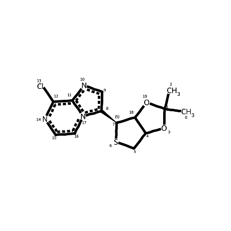 CC1(C)OC2CS[C@@H](c3cnc4c(Cl)nccn34)C2O1